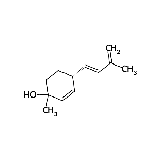 C=C(C)C=C[C@@H]1C=CC(C)(O)CC1